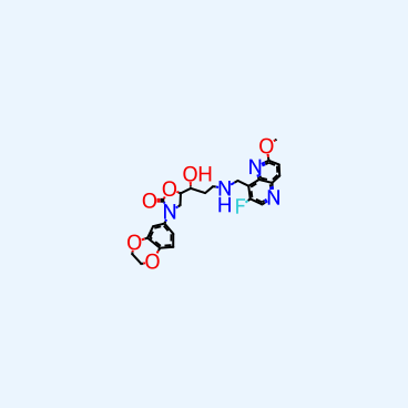 COc1ccc2ncc(F)c(CNCC[C@H](O)C3CN(c4ccc5c(c4)OCCO5)C(=O)O3)c2n1